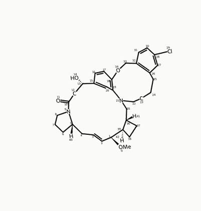 CO[C@H]1/C=C/C[C@@H]2CCCN2C(=O)C[C@H](O)c2ccc3c(c2)N(CCCCc2cc(Cl)ccc2CO3)C[C@@H]2CC[C@H]21